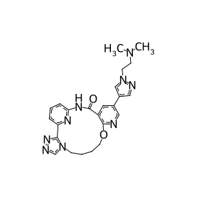 CN(C)CCn1cc(-c2cnc3c(c2)C(=O)Nc2cccc(n2)-c2nncn2CCCCO3)cn1